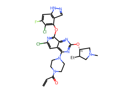 C=CC(=O)N1CCN(c2nc(O[C@@H]3CN(C)CC3CC)nc3c(Oc4c(Cl)c(F)cc5[nH]ncc45)nc(Cl)cc23)CC1